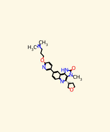 CN(C)CCCOc1ccc(-c2ccc3nc([C@@H]4CCOC4)c4c([nH]c(=O)n4C)c3c2)cn1